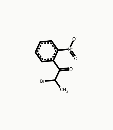 CC(Br)C(=O)c1ccccc1[N+](=O)[O-]